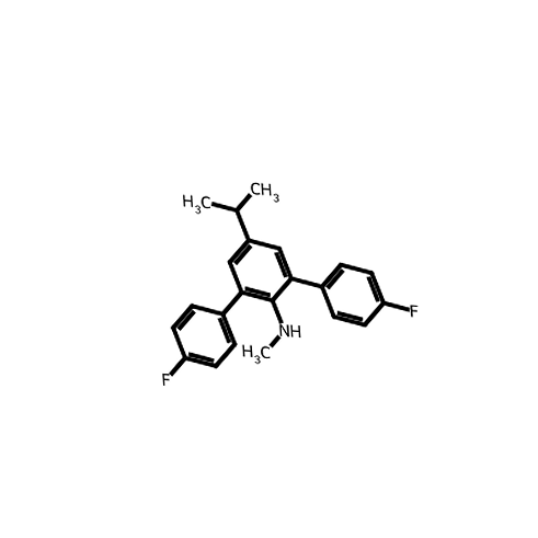 CNc1c(-c2ccc(F)cc2)cc(C(C)C)cc1-c1ccc(F)cc1